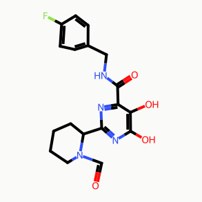 O=CN1CCCCC1c1nc(O)c(O)c(C(=O)NCc2ccc(F)cc2)n1